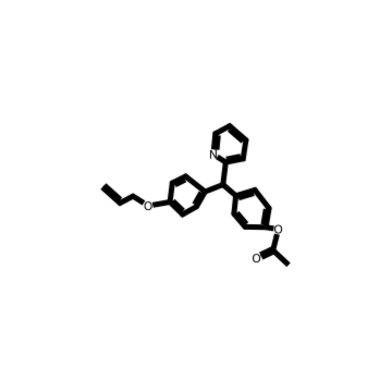 C=CCOc1ccc(C(c2ccc(OC(C)=O)cc2)c2ccccn2)cc1